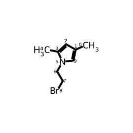 Cc1cc(C)n(CCBr)c1